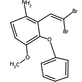 COc1ccc(N)c(C=C(Br)Br)c1Oc1ccccc1